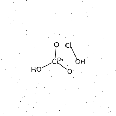 OCl.[O-][Cl+2]([O-])O